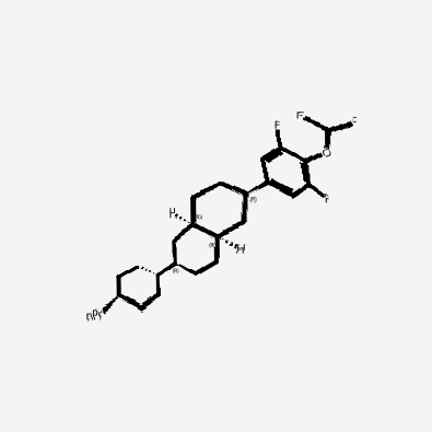 CCC[C@H]1CC[C@H]([C@@H]2CC[C@@H]3C[C@H](c4cc(F)c(OC(F)F)c(F)c4)CC[C@@H]3C2)CC1